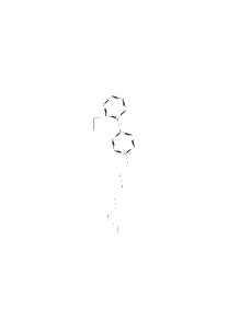 Fc1ccccc1-c1ccc(CCCCCCBr)cc1